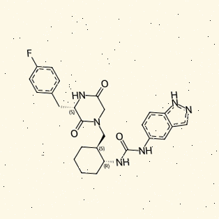 O=C1CN(C[C@@H]2CCCC[C@H]2NC(=O)Nc2ccc3[nH]ncc3c2)C(=O)[C@H](Cc2ccc(F)cc2)N1